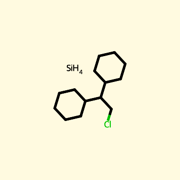 ClCC(C1CCCCC1)C1CCCCC1.[SiH4]